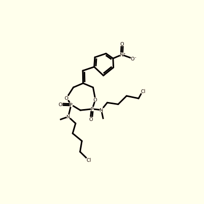 CN(CCCCCl)P1(=O)CP(=O)(N(C)CCCCCl)OCC(=Cc2ccc([N+](=O)[O-])cc2)CO1